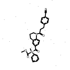 COC(=O)[N+](C)(C(=O)c1ccc2c(c1)CCCN2C(=O)CCc1ccc(C#N)cc1)c1ccccc1